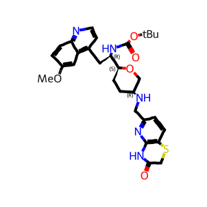 COc1ccc2nccc(C[C@@H](NC(=O)OC(C)(C)C)[C@@H]3CC[C@@H](NCc4ccc5c(n4)NC(=O)CS5)CO3)c2c1